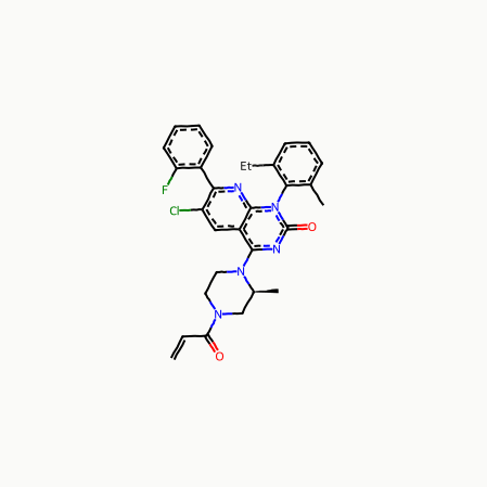 C=CC(=O)N1CCN(c2nc(=O)n(-c3c(C)cccc3CC)c3nc(-c4ccccc4F)c(Cl)cc23)[C@@H](C)C1